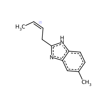 C/C=C\Cc1nc2cc(C)ccc2[nH]1